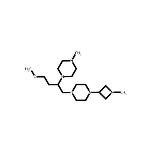 COCCC(CN1CCN(C2CN(C)C2)CC1)N1CCN(C)CC1